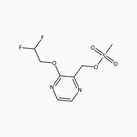 CS(=O)(=O)OCc1nccnc1OCC(F)F